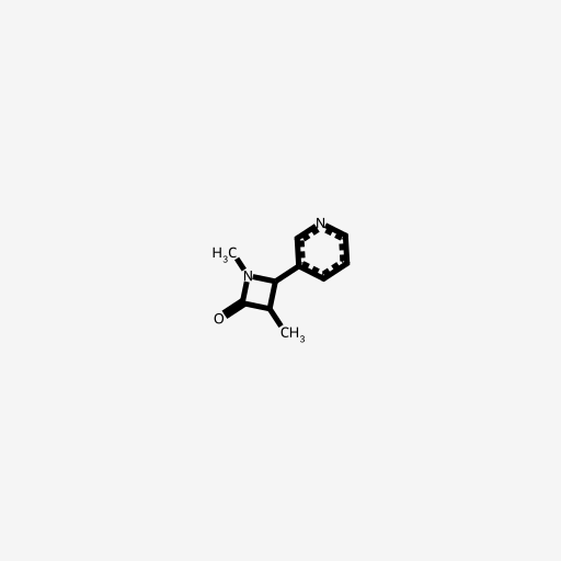 CC1C(=O)N(C)C1c1cccnc1